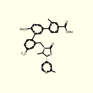 COC(=O)c1ccc(-c2ccc(OC)c(-c3ccc(C(F)(F)F)cc3CN3C(=O)O[C@H](c4ccnc(C)c4)C3C)c2)c(C)c1